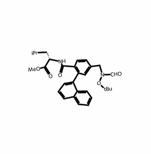 COC(=O)[C@H](CC(C)C)NC(=O)c1ccc(CN(C=O)OC(C)(C)C)cc1-c1cccc2ccccc12